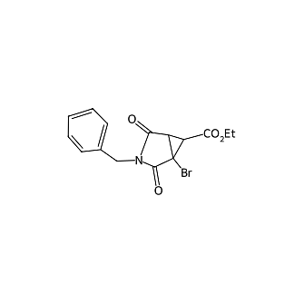 CCOC(=O)C1C2C(=O)N(Cc3ccccc3)C(=O)C12Br